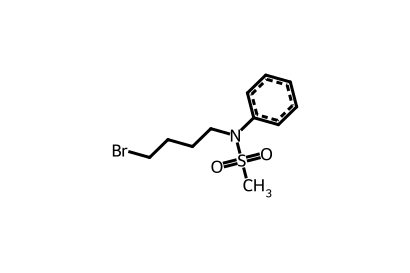 CS(=O)(=O)N(CCCCBr)c1ccccc1